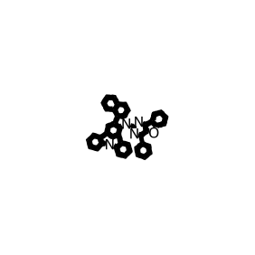 c1ccc(-c2nc(-n3c4ccc5ccccc5c4c4cc5c6ccccc6n6c7ccccc7c(c43)c56)nc3c2oc2ccccc23)cc1